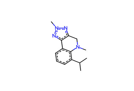 CC(C)c1cccc2c1N(C)Cc1nn(C)nc1-2